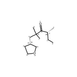 CC[C@@H](C)C(=O)C(C)(C)C[C@H]1CCOC1